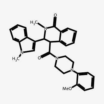 COc1ccccc1N1CCN(C(=O)C2c3ccccc3C(=O)N(C)C2c2cn(C)c3ccccc23)CC1